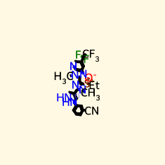 CC[S+]([O-])c1c(-c2nc3cc(C(F)(F)C(F)(F)F)cnc3n2C)nc(/C(C=N)=C/Nc2cccc(C#N)c2)n1C